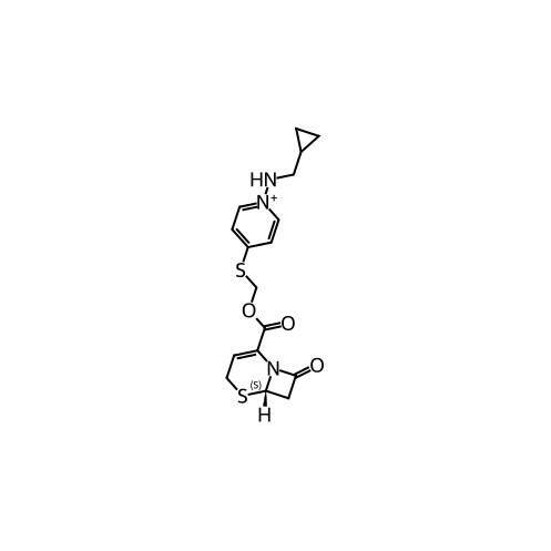 O=C(OCSc1cc[n+](NCC2CC2)cc1)C1=CCS[C@H]2CC(=O)N12